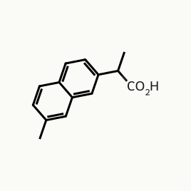 Cc1ccc2ccc(C(C)C(=O)O)cc2c1